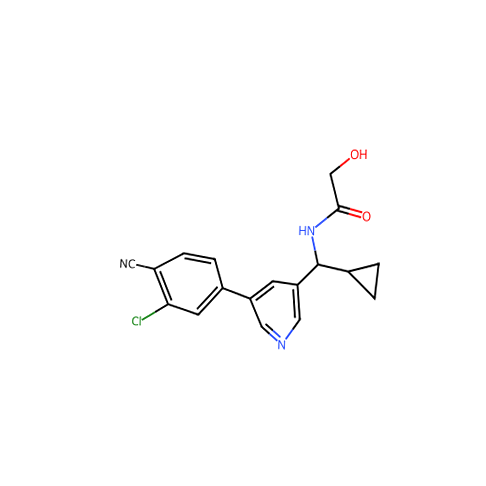 N#Cc1ccc(-c2cncc(C(NC(=O)CO)C3CC3)c2)cc1Cl